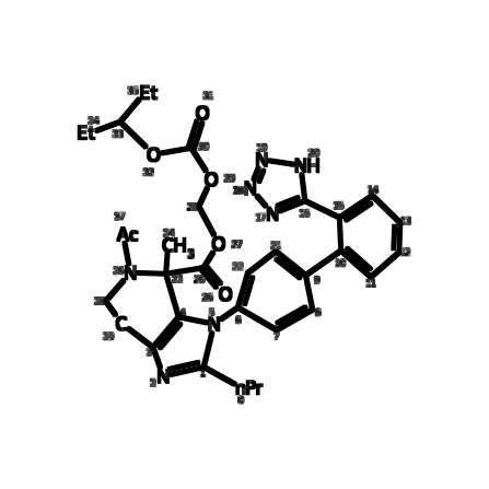 CCCc1nc2c(n1-c1ccc(-c3ccccc3-c3nnn[nH]3)cc1)C(C)(C(=O)OCOC(=O)OC(CC)CC)N(C(C)=O)CC2